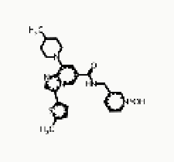 Cc1ccc(-c2cnc3c(N4CCC(C)CC4)cc(C(=O)NCc4ccc[n+](O)c4)cn23)s1